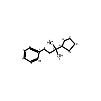 OC(O)(CCc1ccccc1)C1CCCC1